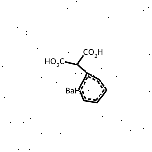 O=C(O)C(C(=O)O)c1ccccc1.[BaH2]